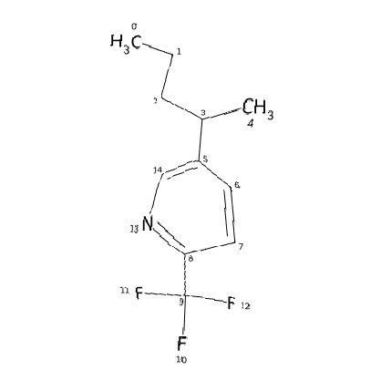 CCCC(C)c1ccc(C(F)(F)F)nc1